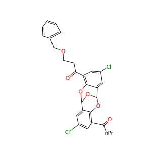 CCCC(=O)c1cc(Cl)cc2c1OC1OC2Oc2c(C(=O)CCOCc3ccccc3)cc(Cl)cc21